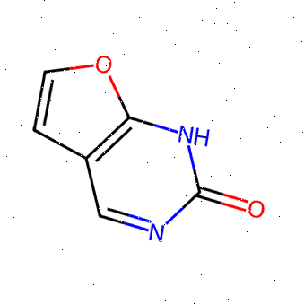 O=c1ncc2ccoc2[nH]1